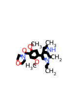 C=CCN1C=C(c2cc(OC)c(C(=O)N3CCOCC3)cc2OC)c2cc(C)[nH]c2C1=C